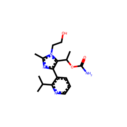 Cc1nc(-c2cccnc2C(C)C)c(C(C)OC(N)=O)n1CCO